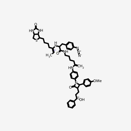 C=C(CCCCNC(=O)C(Cc1ccc(N=[N+]=[N-])cc1)N/C(=C/C)CCCCC1SCC2NC(=O)NC21)Nc1ccc(N2C(=O)C(CC[C@H](O)c3ccccc3)C2c2ccc(OC)cc2)cc1